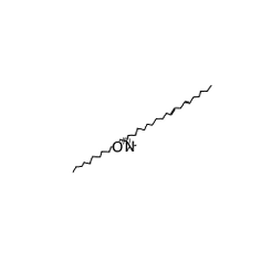 CCCCCC=CCC=CCCCCCCCCC[C@H](COCCCCCCCCCC)N(C)C